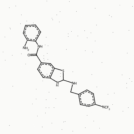 Nc1ccccc1NC(=O)c1ccc2c(c1)SC(NCc1ccc(NC(F)(F)F)cc1)N2